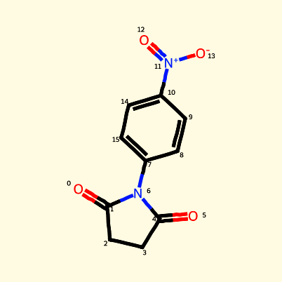 O=C1CCC(=O)N1c1ccc([N+](=O)[O-])cc1